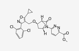 COC(=O)c1ccc(N2C(=O)[C@@H]3C[C@H]2C[C@H]3OCc2c(-c3c(Cl)cccc3Cl)noc2C2CC2)nn1